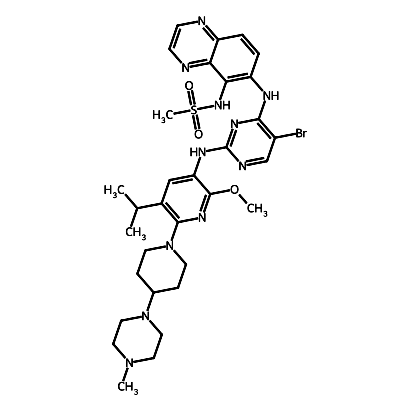 COc1nc(N2CCC(N3CCN(C)CC3)CC2)c(C(C)C)cc1Nc1ncc(Br)c(Nc2ccc3nccnc3c2NS(C)(=O)=O)n1